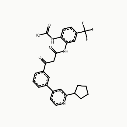 O=C(O)Nc1ccc(C(F)(F)F)cc1NC(=O)CC(=O)c1cccc(-c2ccnc(C3CCCC3)c2)c1